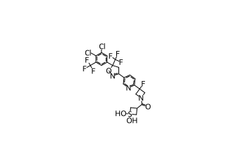 O=C(C1CS(O)(O)C1)N1CC(F)(c2ccc(C3=NOC(c4cc(Cl)c(Cl)c(C(F)(F)F)c4)(C(F)(F)F)C3)cn2)C1